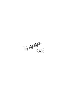 [Al+3].[Ga].[In].[N-3]